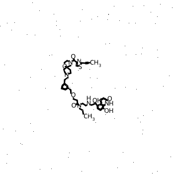 CC#Cc1nc(C(=O)N2CCOC3(CCN(CCc4cccc(CCOCCC(=O)N(CCCC)CCNC[C@H](O)c5ccc(O)c6[nH]c(=O)ccc56)c4)CC3)C2)cs1